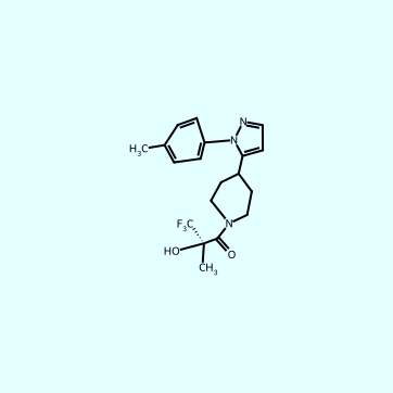 Cc1ccc(-n2nccc2C2CCN(C(=O)[C@@](C)(O)C(F)(F)F)CC2)cc1